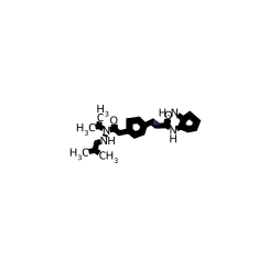 CC(C)CNN(C(=O)Cc1ccc(/C=C/C(=O)Nc2ccccc2N)cc1)C(C)C